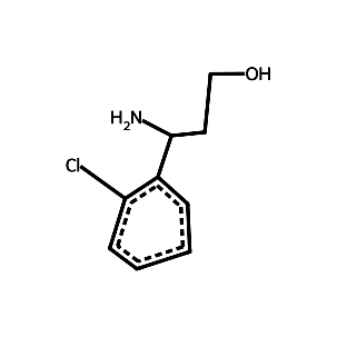 NC(CCO)c1ccccc1Cl